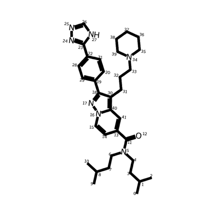 CC(C)CCN(CCC(C)C)C(=O)c1ccn2nc(-c3ccc(-c4nnc[nH]4)cc3)c(CCCN3CCCCC3)c2c1